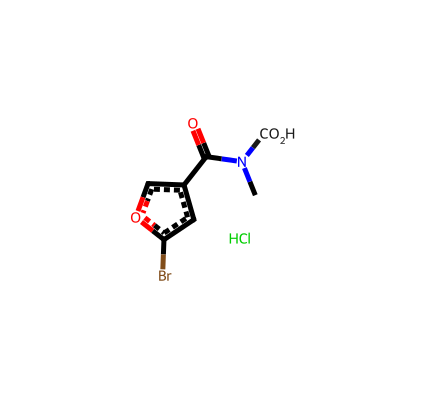 CN(C(=O)O)C(=O)c1coc(Br)c1.Cl